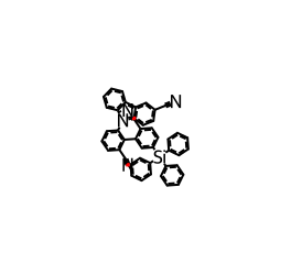 N#Cc1ccc2c(c1)c1ccccc1n2-c1cccc(C#N)c1-c1cc([Si](c2ccccc2)(c2ccccc2)c2ccccc2)ccc1C#N